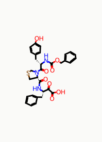 O=C(N[C@@H](Cc1ccc(O)cc1)C(=O)N1CSC[C@H]1C(=O)N[C@@H](Cc1ccccc1)C(=O)C(=O)O)OCc1ccccc1